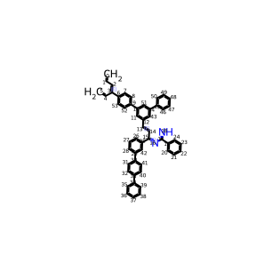 C=C/C=C(\C=C)c1ccc(-c2cc(/C=C/C(=N\C(=N)c3ccccc3)c3cccc(-c4ccc(-c5ccccc5)cc4)c3)cc(-c3ccccc3)c2)cc1